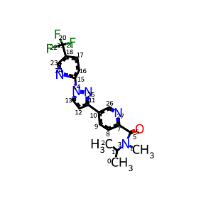 CC(C)N(C)C(=O)c1ccc(-c2ccn(-c3ccc(C(F)(F)F)cn3)n2)cn1